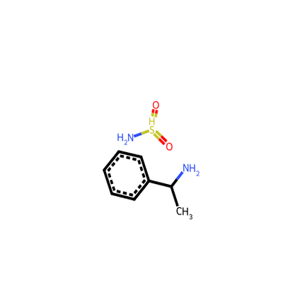 CC(N)c1ccccc1.N[SH](=O)=O